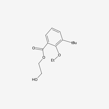 CCOc1c(C(=O)OCCO)cccc1C(C)(C)C